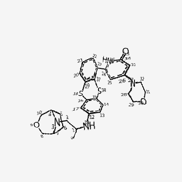 CC(CN1C2CCC1COC2)Nc1ccc2c(c1)Sc1cccc(-c3cc(N4CCOCC4)cc(=O)[nH]3)c1S2